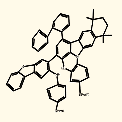 CCCCCc1ccc(Nc2cc3c(cc2-c2cc(-c4ccccc4-c4ccccc4)c4c5cc6c(cc5n5c4c2Bc2cc(CCCCC)ccc2-5)C(C)(C)CCC6(C)C)sc2ccccc23)cc1